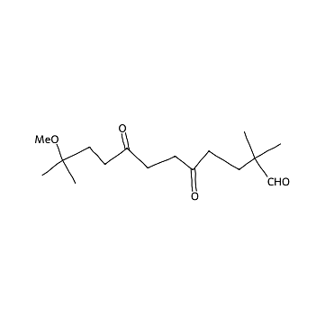 COC(C)(C)CCC(=O)CCC(=O)CCC(C)(C)C=O